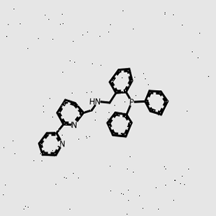 c1ccc(P(c2ccccc2)c2ccccc2CNCc2cccc(-c3ccccn3)n2)cc1